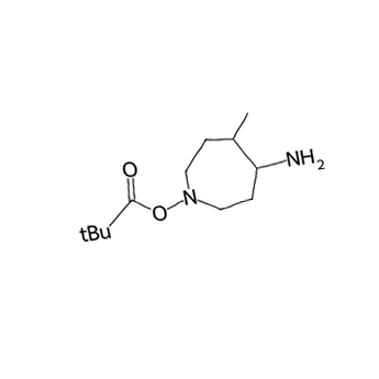 CC1CCN(OC(=O)C(C)(C)C)CCC1N